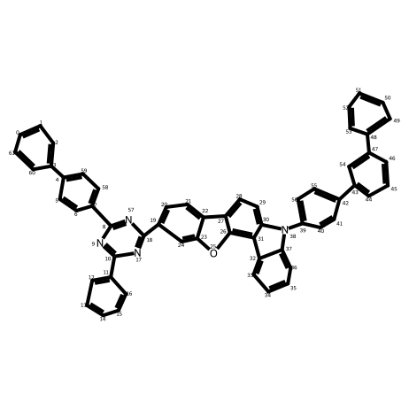 c1ccc(-c2ccc(-c3nc(-c4ccccc4)nc(-c4ccc5c(c4)oc4c5ccc5c4c4ccccc4n5-c4ccc(-c5cccc(-c6ccccc6)c5)cc4)n3)cc2)cc1